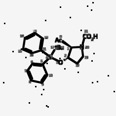 CC(=O)[C@@H]1[C@@H](O[Si](c2ccccc2)(c2ccccc2)C(C)(C)C)CCN1C(=O)O